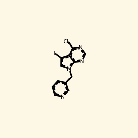 Clc1ncnc2c1c(I)cn2Cc1cccnc1